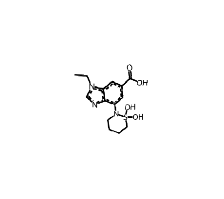 CCn1cnc2c(N3CCCCS3(O)O)cc(C(=O)O)cc21